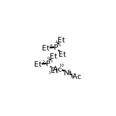 CCP(CC)CC.CCP(CC)CC.C[C](=O)[Ni][C](C)=O